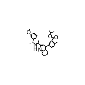 COc1cccc([C@@H](C)NC(C)c2cc(-c3ccc(C)c(C(=O)OC(C)C)c3)c3c(n2)CCCC3)c1